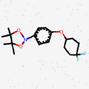 CC1(C)ON(c2ccc(OC3CCC(F)(F)CC3)cc2)OC1(C)C